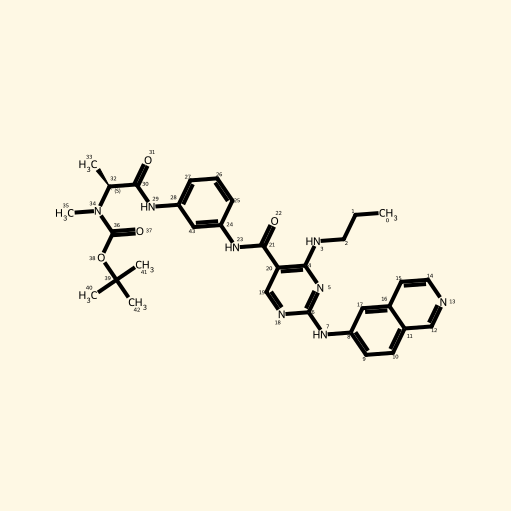 CCCNc1nc(Nc2ccc3cnccc3c2)ncc1C(=O)Nc1cccc(NC(=O)[C@H](C)N(C)C(=O)OC(C)(C)C)c1